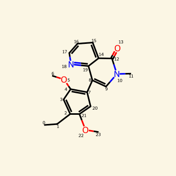 CCc1cc(OC)c(-c2cn(C)c(=O)c3cccnc23)cc1OC